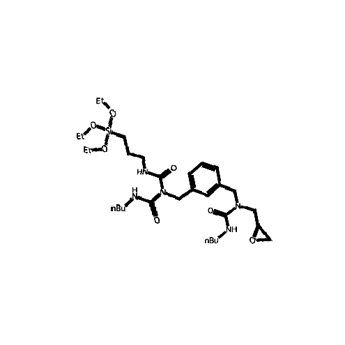 CCCCNC(=O)N(Cc1cccc(CN(C(=O)NCCCC)C(=O)NCCC[Si](OCC)(OCC)OCC)c1)CC1CO1